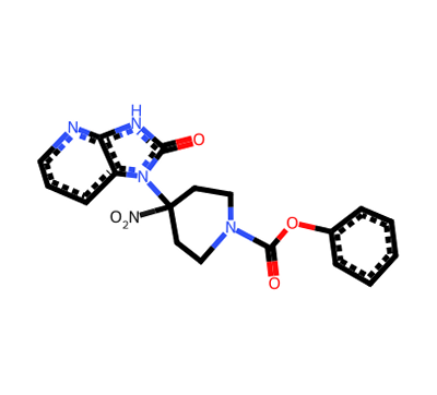 O=C(Oc1ccccc1)N1CCC(n2c(=O)[nH]c3ncccc32)([N+](=O)[O-])CC1